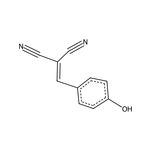 N#CC(C#N)=Cc1ccc(O)cc1